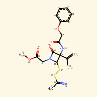 C=C(C)C1(NC(=O)COc2ccccc2)C(=O)N(CC(=O)OC)C1SSC(C)=N